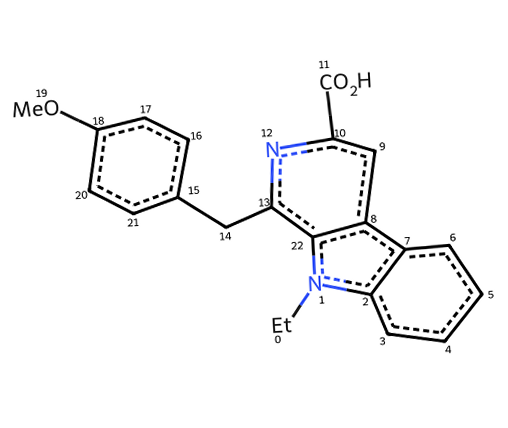 CCn1c2ccccc2c2cc(C(=O)O)nc(Cc3ccc(OC)cc3)c21